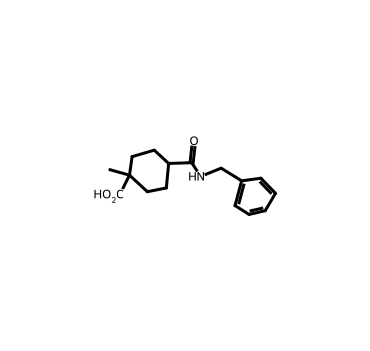 CC1(C(=O)O)CCC(C(=O)NCc2ccccc2)CC1